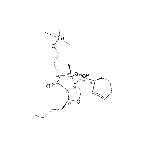 CCCC[C@@H]1OC[C@]2([C@H](O)[C@@H]3C=CCCC3)N1C(=O)[C@H](CCO[PH](C)(C)C)[C@]2(C)O